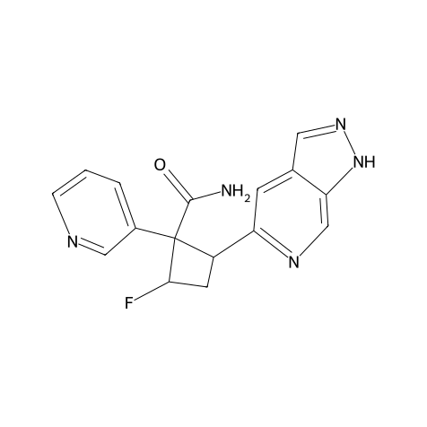 NC(=O)C1(c2cccnc2)C(F)CC1c1cc2cn[nH]c2cn1